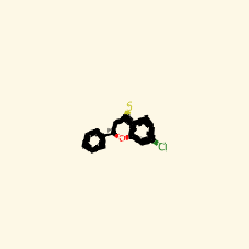 S=C1C[C@H](c2ccccc2)Oc2cc(Cl)ccc21